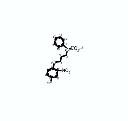 O=C(O)N(CCCOc1ccc(F)cc1[N+](=O)[O-])c1ccccc1